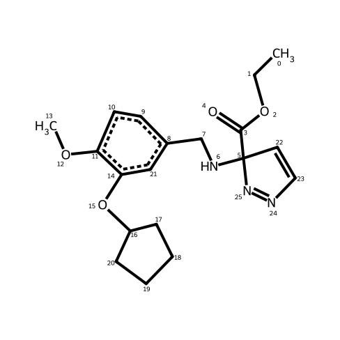 CCOC(=O)C1(NCc2ccc(OC)c(OC3CCCC3)c2)C=CN=N1